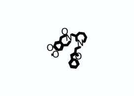 COc1cc2c(cc1OC)CC(=O)N(CC1CCCCN(CCc3cc4ccccc4o3)C1)CC2